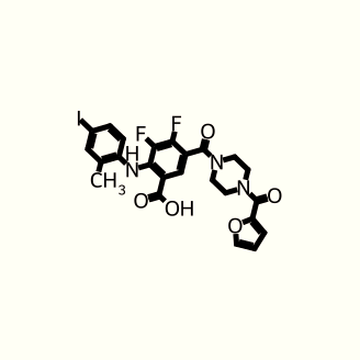 Cc1cc(I)ccc1Nc1c(C(=O)O)cc(C(=O)N2CCN(C(=O)c3ccco3)CC2)c(F)c1F